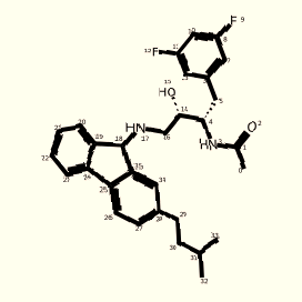 CC(=O)N[C@@H](Cc1cc(F)cc(F)c1)[C@@H](O)CNC1c2ccccc2-c2ccc(CCC(C)C)cc21